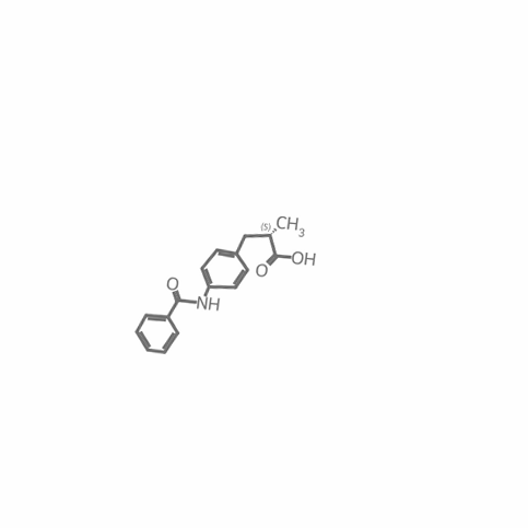 C[C@@H](Cc1ccc(NC(=O)c2ccccc2)cc1)C(=O)O